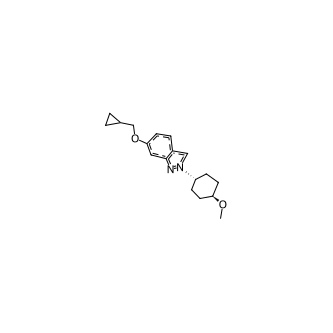 CO[C@H]1CC[C@H](n2cc3ccc(OCC4CC4)cc3n2)CC1